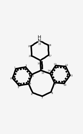 c1ccc2c(c1)CCCc1ccccc1C2=C1CCNCC1